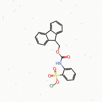 O=C(Nc1ccccc1S(=O)(=O)OCl)OCC1c2ccccc2-c2ccccc21